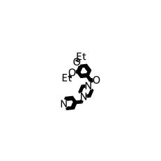 CCOc1ccc(C(=O)N2CCN(Cc3ccncc3)CC2)cc1OCC